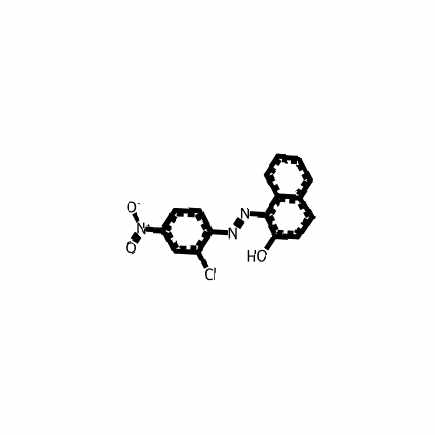 O=[N+]([O-])c1ccc(N=Nc2c(O)ccc3ccccc23)c(Cl)c1